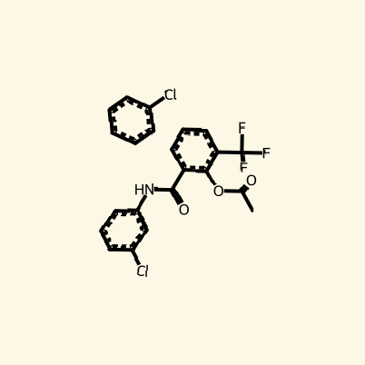 CC(=O)Oc1c(C(=O)Nc2cccc(Cl)c2)cccc1C(F)(F)F.Clc1ccccc1